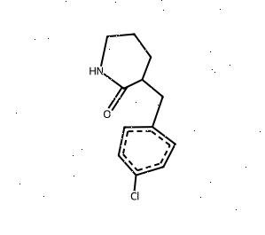 O=C1NCCCC1Cc1ccc(Cl)cc1